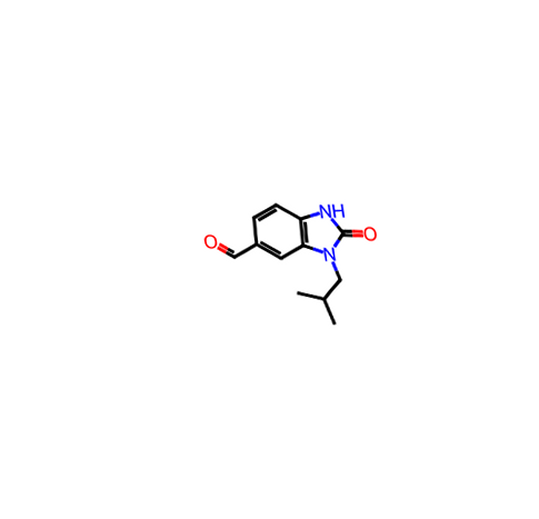 CC(C)Cn1c(=O)[nH]c2ccc(C=O)cc21